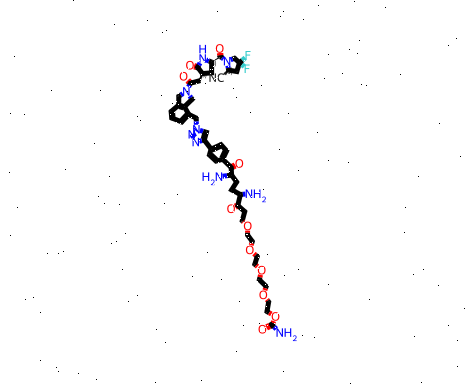 N#C[C@@H]1CC(F)(F)CN1C(=O)[C@@H]1C[C@@H](CC(=O)N2Cc3cccc(Cn4cc(-c5ccc(C(=O)C(N)CCC(N)C(=O)CCOCCOCCOCCOCCOC(N)=O)cc5)nn4)c3C2)C(=O)N1